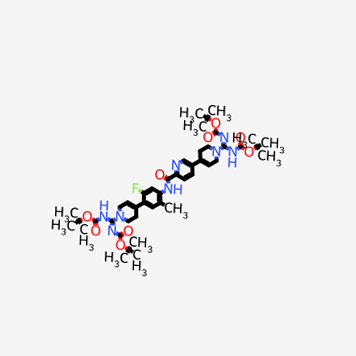 Cc1cc(C2=CCN(/C(=N\C(=O)OC(C)(C)C)NC(=O)OC(C)(C)C)CC2)c(F)cc1NC(=O)c1ccc(C2=CCN(/C(=N\C(=O)OC(C)(C)C)NC(=O)OC(C)(C)C)CC2)cn1